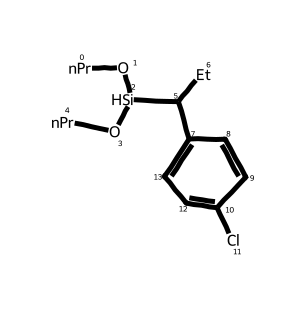 CCCO[SiH](OCCC)C(CC)c1ccc(Cl)cc1